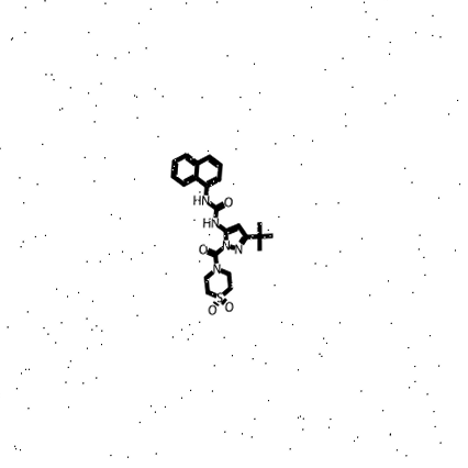 CC(C)(C)c1cc(NC(=O)Nc2cccc3ccccc23)n(C(=O)N2CCS(=O)(=O)CC2)n1